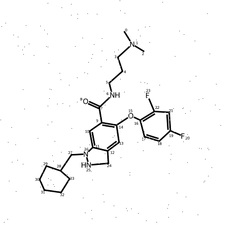 CN(C)CCCNC(=O)c1cc2c(cc1Oc1ccc(F)cc1F)CNN2CC1CCCCC1